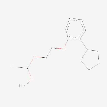 COC(C)OCCOc1ccccc1C1CCCC1